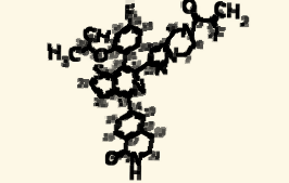 C=C(F)C(=O)N1CCn2nc(-c3nc(-c4ccc5c(c4)CCNC5=O)c4ccsc4c3-c3ccc(F)cc3OC(C)C)cc2C1